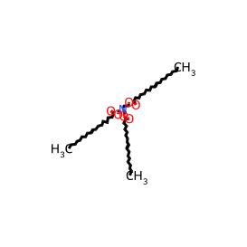 CCCCCCCCC=CCCCCCCCC(=O)OCCN(COC(=O)CCCCCCCC=CCCCCCCCC)COC(=O)CCCCCCCC=CCCCCCCCC